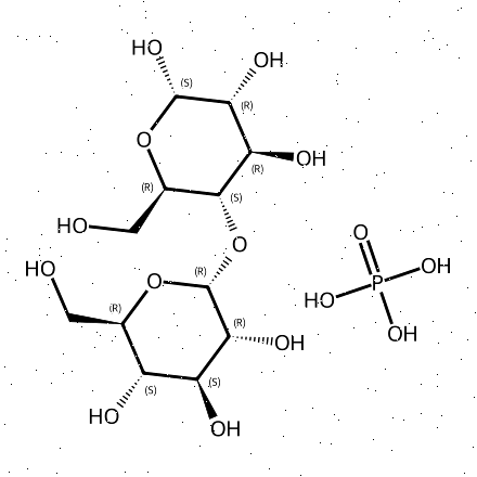 O=P(O)(O)O.OC[C@H]1O[C@H](O[C@H]2[C@H](O)[C@@H](O)[C@@H](O)O[C@@H]2CO)[C@H](O)[C@@H](O)[C@@H]1O